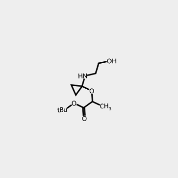 CC(OC1(NCCO)CC1)C(=O)OC(C)(C)C